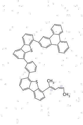 C/C=C\C=C(/C)c1cccc2c1sc1c(-c3cccc(-c4cccc5c4sc4c(-c6ccc7c8ccccc8c8ccccc8c7c6)cccc45)c3)cccc12